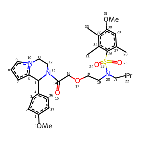 COc1ccc(C2c3cccn3CCN2C(=O)COCCN(CC(C)C)S(=O)(=O)c2c(C)cc(OC)c(C)c2C)cc1